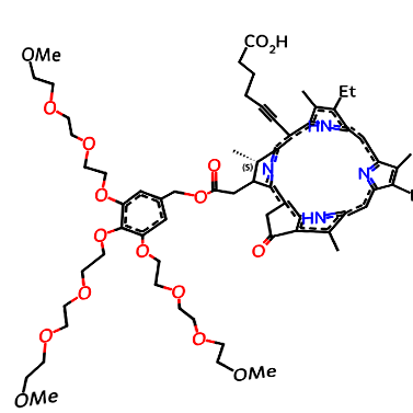 CCC1=C(C)c2cc3[nH]c(c(C)c3CC)c(C#CCCCC(=O)O)c3nc(c4c5[nH]c(cc1n2)c(C)c5C(=O)C4)C(CC(=O)OCc1cc(OCCOCCOCCOC)c(OCCOCCOCCOC)c(OCCOCCOCCOC)c1)[C@@H]3C